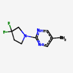 Bc1cnc(N2CCC(F)(F)C2)nc1